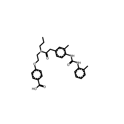 CCCN(CCOc1ccc(C(=O)O)cc1)C(=O)Cc1ccc(NC(=O)Nc2ccccc2C)c(C)c1